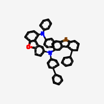 c1ccc(-c2ccc(N(c3ccc4oc5cccc(N(c6ccccc6)c6ccccc6)c5c4c3)c3ccc4sc5cccc(-c6ccccc6)c5c4c3)cc2)cc1